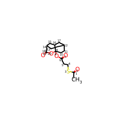 CC(=O)SCCC(=O)OC12CCC3CC(CC1C3)C(=O)O2